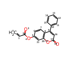 C=CC(=O)Oc1ccc2c(-c3ccccc3)cc(=O)oc2c1